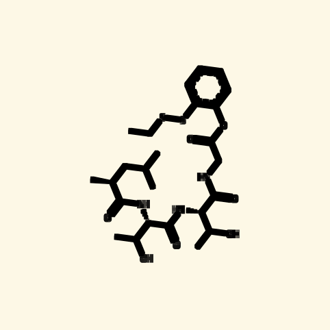 CCSSc1ccccc1OC(=O)CNC(=O)[C@@H](NC(=O)[C@@H](NC(=O)[C@@H](C)CC(C)C)C(C)O)C(C)O